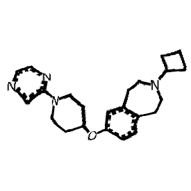 c1cnc(N2CCC(Oc3ccc4c(c3)CCN(C3CCC3)CC4)CC2)cn1